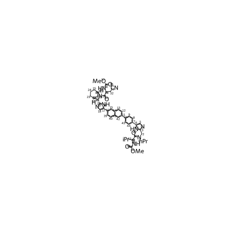 CCCN(Cc1ncc(-c2ccc(-c3ccc4cc(-c5cnc([C@@H]6[C@H]7CCC[C@H](C7)N6C(=O)[C@H](CC#N)NC(=O)OC)[nH]5)ccc4c3)cc2)[nH]1)C(=O)[C@@H](NC(=O)OC)C(C)C